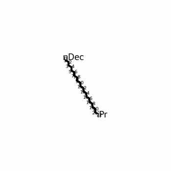 CCCCCCCCCCCCCCC/C=[C]/C=CCCCCCCCCCCCCC(C)C